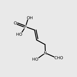 O=CN(O)CC=CP(=O)(O)O